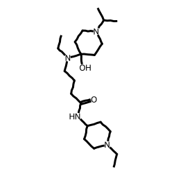 CCN1CCC(NC(=O)CCCN(CC)C2(O)CCN(C(C)C)CC2)CC1